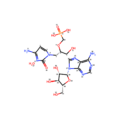 Nc1ccn(C[C@@H](CO)OCP(=O)(O)O)c(=O)n1.Nc1ncnc2c1ncn2[C@@H]1O[C@H](CO)[C@@H](O)[C@@H]1O.O